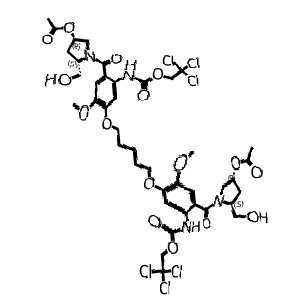 COc1cc(C(=O)N2C[C@H](OC(C)=O)C[C@H]2CO)c(NC(=O)OCC(Cl)(Cl)Cl)cc1OCCCCCOc1cc(NC(=O)OCC(Cl)(Cl)Cl)c(C(=O)N2C[C@H](OC(C)=O)C[C@H]2CO)cc1OC